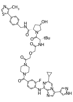 Cc1ncsc1-c1ccc(CNC(=O)[C@@H]2C[C@@H](O)CN2C(=O)[C@@H](NC(=O)COCC(=O)N2CCN(C(=O)c3ccc(Nc4nc(C5CC5)cn5c(-c6cn[nH]c6)cnc45)c(F)c3)CC2)C(C)(C)C)cc1